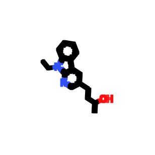 C=C(O)/C=C/c1cnc2c(c1)c1ccccc1n2CC